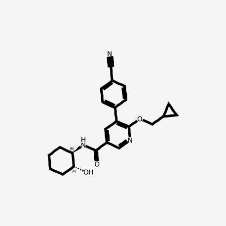 N#Cc1ccc(-c2cc(C(=O)N[C@@H]3CCCC[C@H]3O)cnc2OCC2CC2)cc1